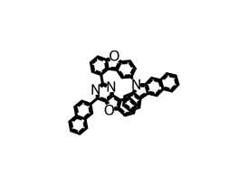 c1ccc2cc(-c3nc(-c4cccc5oc6ccc(-n7c8ccccc8c8cc9ccccc9cc87)cc6c45)nc4c3oc3ccccc34)ccc2c1